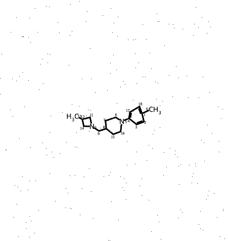 Cc1ccc(N2CCC(CN3CC(C)C3)CC2)cc1